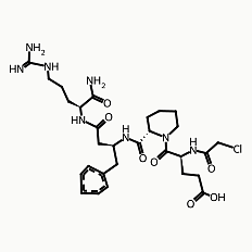 N=C(N)NCCC[C@H](NC(=O)C[C@H](Cc1ccccc1)NC(=O)[C@@H]1CCCCN1C(=O)[C@H](CCC(=O)O)NC(=O)CCl)C(N)=O